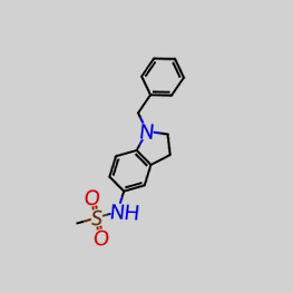 CS(=O)(=O)Nc1ccc2c(c1)CCN2Cc1ccccc1